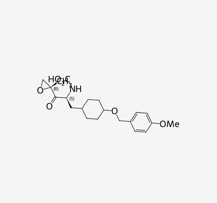 COc1ccc(COC2CCC(C[C@H](NC(=O)O)C(=O)[C@@]3(C)CO3)CC2)cc1